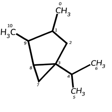 CC1CC2(C(C)C)CC2C1C